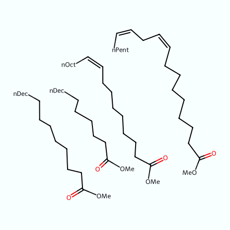 CCCCC/C=C\C/C=C\CCCCCCCC(=O)OC.CCCCCCCC/C=C\CCCCCCCC(=O)OC.CCCCCCCCCCCCCCCC(=O)OC.CCCCCCCCCCCCCCCCCC(=O)OC